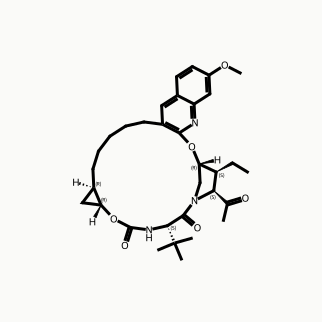 CC[C@@H]1[C@@H]2CN(C(=O)[C@H](C(C)(C)C)NC(=O)O[C@@H]3C[C@H]3CCCCCc3cc4ccc(OC)cc4nc3O2)[C@@H]1C(C)=O